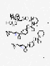 CN(C)C/C=C/C(=O)N1CC[C@H](OC(=O)N2CCCCC2)C1.CN(C)C/C=C/C(=O)N1CC[C@H](OC(=O)N2CCCCC2)C1.O.O.O=S(=O)(O)CCS(=O)(=O)O